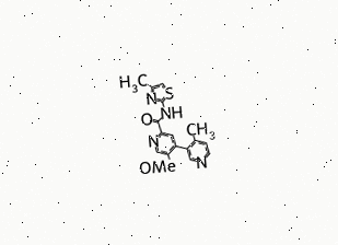 COc1cnc(C(=O)Nc2nc(C)cs2)cc1-c1cnccc1C